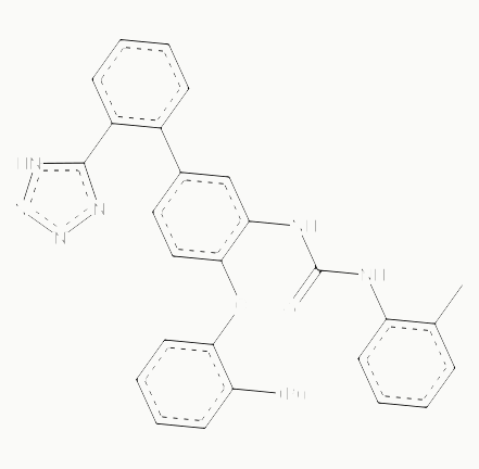 Cc1ccccc1NC(=O)Nc1cc(-c2ccccc2-c2nnn[nH]2)ccc1Oc1ccccc1C(C)(C)C